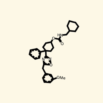 COc1cccc(Cc2nc(C3(c4ccccc4)CCC(OC(=O)NCC4CCCCC4)CC3)no2)c1